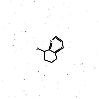 [Li][CH]1CCCc2cccnc21